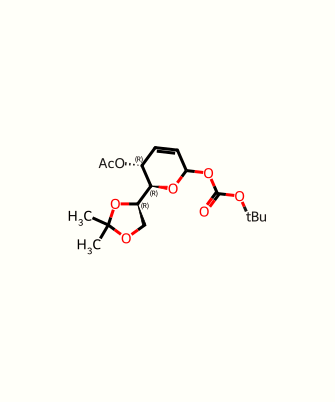 CC(=O)O[C@@H]1C=CC(OC(=O)OC(C)(C)C)O[C@H]1[C@H]1COC(C)(C)O1